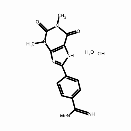 CNC(=N)c1ccc(-c2nc3c([nH]2)c(=O)n(C)c(=O)n3C)cc1.Cl.O